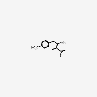 CCCCC(Cc1ccc(C(=O)O)cc1)C(C)N(C)C